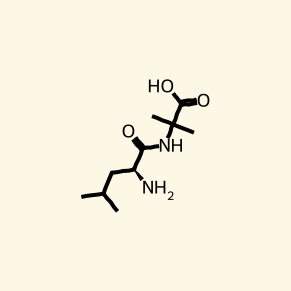 CC(C)C[C@H](N)C(=O)NC(C)(C)C(=O)O